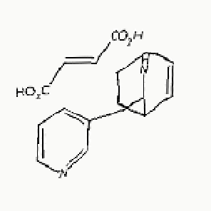 C1=CC2CCC1NC2c1cccnc1.O=C(O)C=CC(=O)O